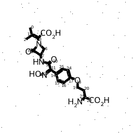 CC(C)=C(C(=O)O)N1CC(NC(=O)/C(=N\O)c2ccc(OCCC(N)C(=O)O)cc2)C1=O